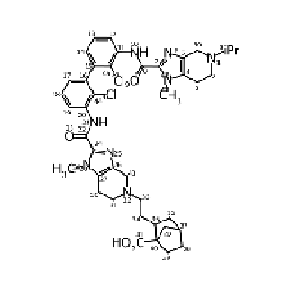 CC(C)N1CCc2c(nc(C(=O)Nc3cccc(-c4cccc(NC(=O)c5nc6c(n5C)CCN(CCC5CC7CCC5(C(=O)O)C7)C6)c4Cl)c3Cl)n2C)C1